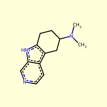 CN(C)C1CCc2[nH]c3cnccc3c2C1